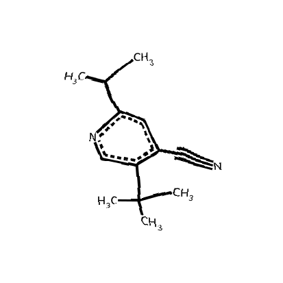 CC(C)c1cc(C#N)c(C(C)(C)C)cn1